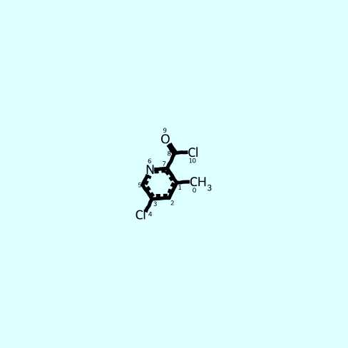 Cc1cc(Cl)cnc1C(=O)Cl